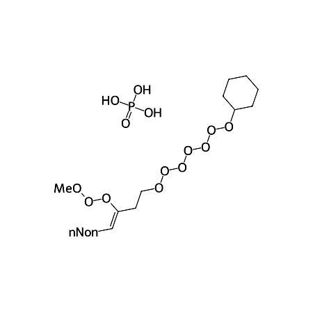 CCCCCCCCCC=C(CCOOOOOOOC1CCCCC1)OOOC.O=P(O)(O)O